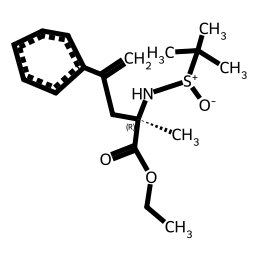 C=C(C[C@@](C)(N[S+]([O-])C(C)(C)C)C(=O)OCC)c1ccccc1